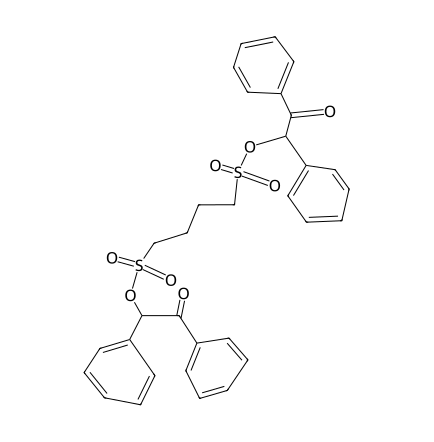 O=C(c1ccccc1)C(OS(=O)(=O)CCCCS(=O)(=O)OC(C(=O)c1ccccc1)c1ccccc1)c1ccccc1